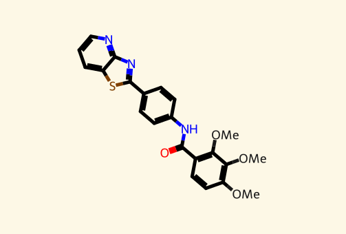 COc1ccc(C(=O)Nc2ccc(-c3nc4ncccc4s3)cc2)c(OC)c1OC